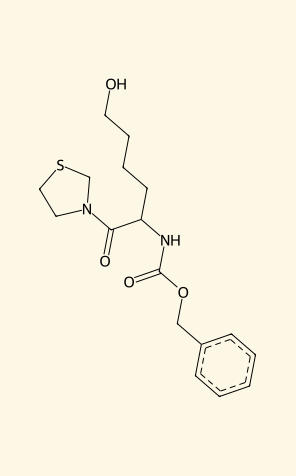 O=C(NC(CCCCO)C(=O)N1CCSC1)OCc1ccccc1